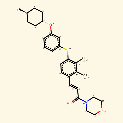 C[C@H]1CC[C@H](Oc2cccc(Sc3ccc(/C=C/C(=O)N4CCOCC4)c(C(F)(F)F)c3C(F)(F)F)c2)CC1